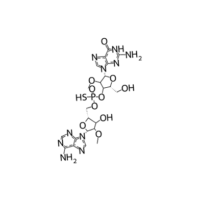 COC1C(O)[C@@H](COP(=O)(S)OC2C(OC)[C@H](n3cnc4c(=O)[nH]c(N)nc43)O[C@@H]2CO)O[C@H]1n1cnc2c(N)ncnc21